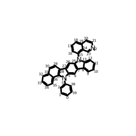 c1ccc(-n2c3cc4c5ccccc5n(-c5cccc6ccncc56)c4cc3c3ccc4ccccc4c32)cc1